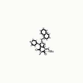 Cn1c(=O)c2c(-c3ccncc3)n(Cc3cccc4ccccc34)nc2n(CC(C)(C)C)c1=O